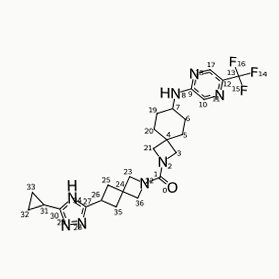 O=C(N1CC2(CCC(Nc3cnc(C(F)(F)F)cn3)CC2)C1)N1CC2(CC(c3nnc(C4CC4)[nH]3)C2)C1